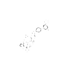 C[C@@H]1CN(C2(C)CCN(C(=O)c3sccc3OCC3CC3)CC2)CCN1[C@@H](C)c1ccc(-c2cc(Cl)cc(Cl)c2)cc1